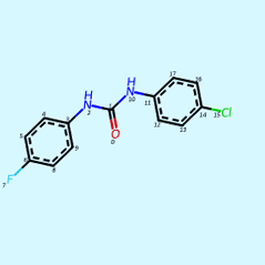 O=C(Nc1ccc(F)cc1)Nc1ccc(Cl)cc1